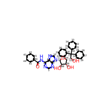 O=C(Nc1ncnc2c1ncn2[C@@H]1O[C@H](C(O)C(c2ccccc2)(c2ccccc2)c2ccccc2)[C@@H](O)[C@H]1O)c1ccccc1